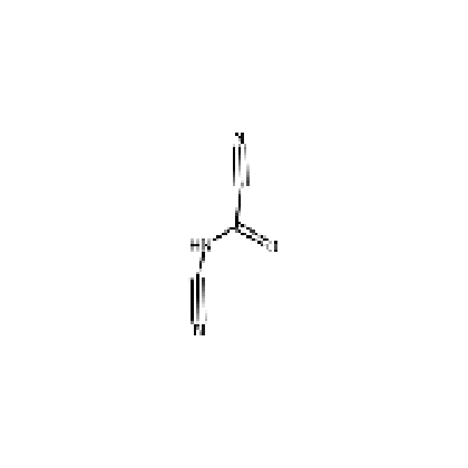 N#CNC(=O)C#N